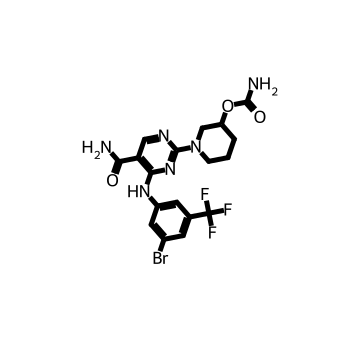 NC(=O)OC1CCCN(c2ncc(C(N)=O)c(Nc3cc(Br)cc(C(F)(F)F)c3)n2)C1